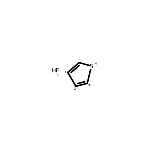 F.c1ccsc1